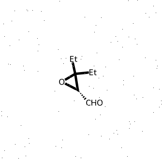 CCC1(CC)O[C@H]1C=O